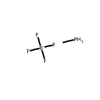 CP.F[B-](F)(F)F